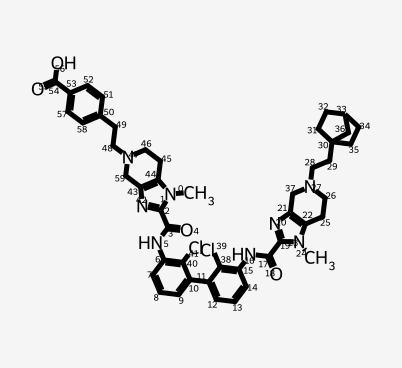 Cn1c(C(=O)Nc2cccc(-c3cccc(NC(=O)c4nc5c(n4C)CCN(CCC46CCC(CC4)C6)C5)c3Cl)c2Cl)nc2c1CCN(CCc1ccc(C(=O)O)cc1)C2